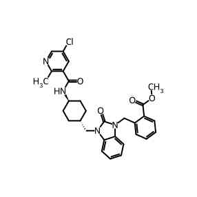 COC(=O)c1ccccc1Cn1c(=O)n(C[C@H]2CC[C@H](NC(=O)c3cc(Cl)cnc3C)CC2)c2ccccc21